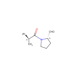 CC(C)[C@H](C)C(=O)N1CCC[C@H]1C=O